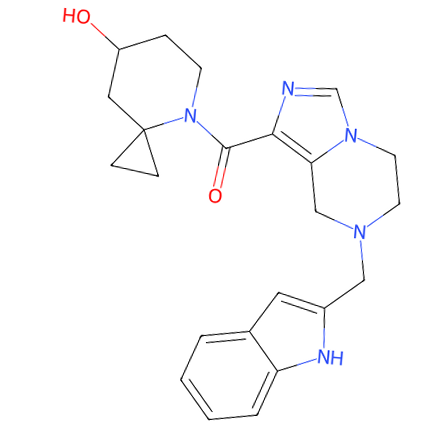 O=C(c1ncn2c1CN(Cc1cc3ccccc3[nH]1)CC2)N1CCC(O)CC12CC2